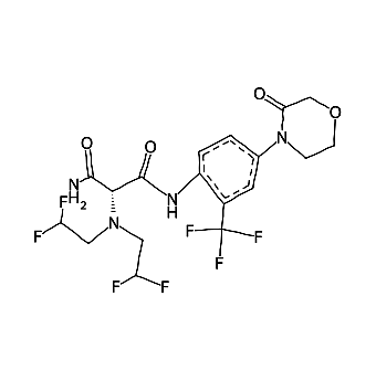 NC(=O)[C@H](C(=O)Nc1ccc(N2CCOCC2=O)cc1C(F)(F)F)N(CC(F)F)CC(F)F